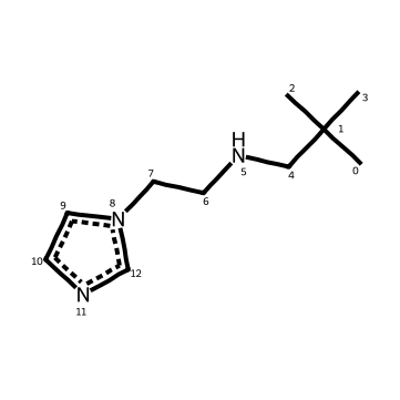 CC(C)(C)CNCCn1ccnc1